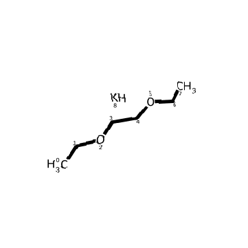 CCOCCOCC.[KH]